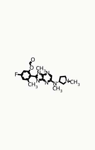 Cc1cc(F)cc(OC=O)c1-c1nc2nc(N(C)[C@@H]3CCN(C)C3)cnc2n1C